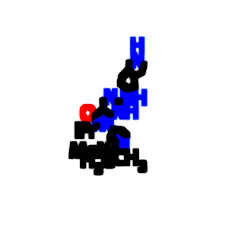 CNC(C)(C)c1cc(N2C3NC(Nc4ccc5c(c4)CCNC5)=NC=C3C(=O)N2C(C)C)ccn1